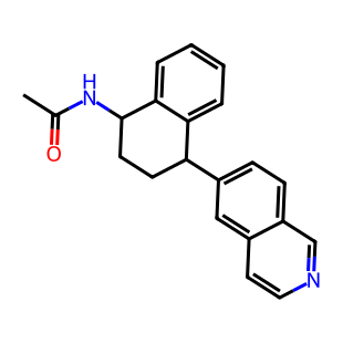 CC(=O)NC1CCC(c2ccc3cnccc3c2)c2ccccc21